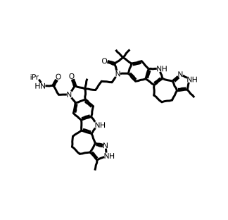 Cc1[nH]nc2c1CCCc1c-2[nH]c2cc3c(cc12)N(CCCC1(C)C(=O)N(CC(=O)NC(C)C)c2cc4c5c([nH]c4cc21)-c1n[nH]c(C)c1CCC5)C(=O)C3(C)C